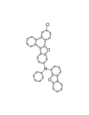 Clc1ccc2c(c1)c1ccccc1c1c3ccc(N(c4ccccc4)c4cccc5c4oc4ccccc45)cc3oc21